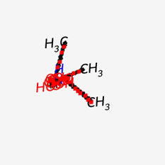 CCCCCCCCCCCCCCCCCCCC(=O)OC(CCCCCCCCCCC)CC(=O)N[C@H]1C(O)O[C@H](CO)[C@@H](OS(=O)(=O)O)[C@@H]1OC(=O)CCCCCCCCCCCCCCCCCCC